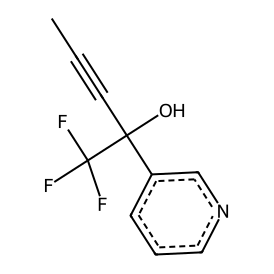 CC#CC(O)(c1cccnc1)C(F)(F)F